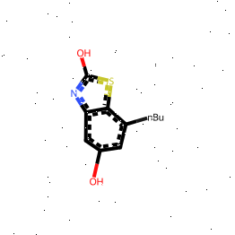 CCCCc1cc(O)cc2nc(O)sc12